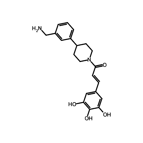 NCc1cccc(C2CCN(C(=O)/C=C/c3cc(O)c(O)c(O)c3)CC2)c1